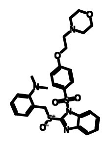 CN(C)c1ccccc1C[S+]([O-])c1nc2ccccc2n1S(=O)(=O)c1ccc(OCCN2CCOCC2)cc1